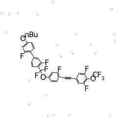 CCCCOc1ccc(-c2ccc(C(F)(F)Oc3ccc(C#Cc4cc(F)c(OC(F)(F)F)c(F)c4)c(F)c3)c(F)c2)c(F)c1